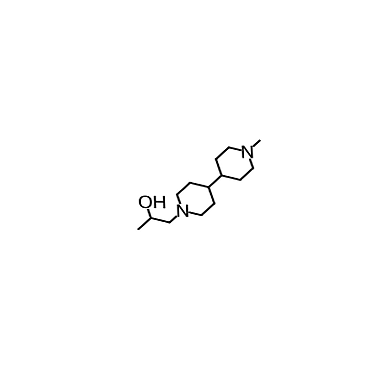 CC(O)CN1CCC(C2CCN(C)CC2)CC1